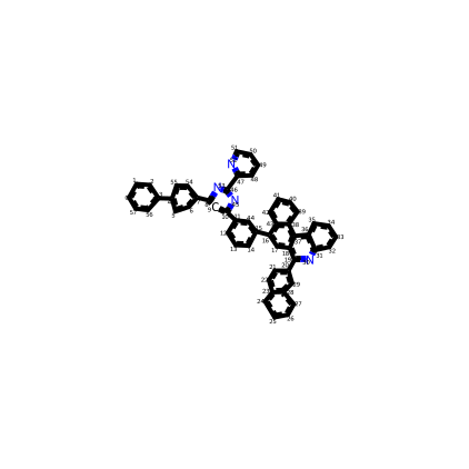 c1ccc(-c2ccc(-c3cc(-c4cccc(-c5cc6c(-c7ccc8ccccc8c7)nc7ccccc7c6c6ccccc56)c4)nc(-c4ccccn4)n3)cc2)cc1